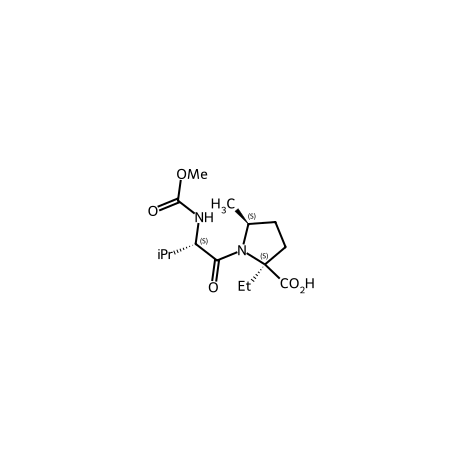 CC[C@@]1(C(=O)O)CC[C@H](C)N1C(=O)[C@@H](NC(=O)OC)C(C)C